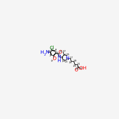 COc1cc(N)c(Cl)cc1C(=O)N[C@@H]1CCN(CCCCCC(=O)O)C[C@@H]1C